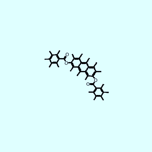 Cc1c(C)c(C)c(C(=O)Oc2c(C)c(C)c3c(C)c4c(C)c(C)c(OC(=O)c5c(C)c(C)c(C)c(C)c5C)c(C)c4c(C)c3c2C)c(C)c1C